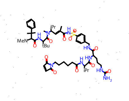 CNC(C(=O)NC(C(=O)N(C)C(/C=C(\C)C(=O)NS(=O)(=O)c1ccc(CNC(=O)C(CCCNC(N)=O)NC(=O)C(NC(=O)CCCCCN2C(=O)C=CC2=O)C(C)C)cc1)C(C)C)C(C)(C)C)C(C)(C)c1ccccc1